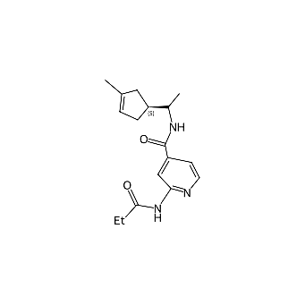 CCC(=O)Nc1cc(C(=O)NC(C)[C@H]2CC=C(C)C2)ccn1